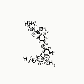 COC1CCC(OC)(c2cc(F)cc(OCc3ccc(N(C)C(=O)N4CCNCC4)cc3)c2)CC1